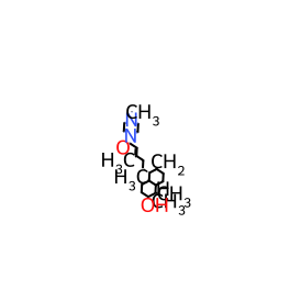 C=C1CC[C@@H]2C(C)(C)[C@H](O)CC[C@@]2(C)[C@@H]1CC/C(C)=C/C(=O)N1CCN(C)CC1